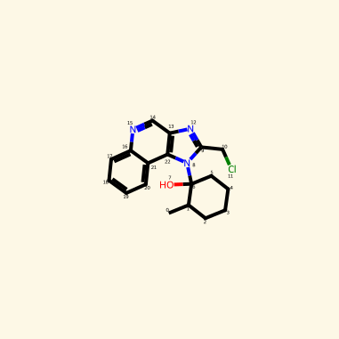 CC1CCCCC1(O)n1c(CCl)nc2cnc3ccccc3c21